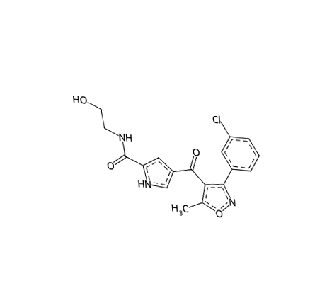 Cc1onc(-c2cccc(Cl)c2)c1C(=O)c1c[nH]c(C(=O)NCCO)c1